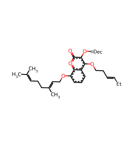 CC/C=C/CCOc1c(OCCCCCCCCCC)c(=O)oc2c(OC/C=C(\C)CCC=C(C)C)cccc12